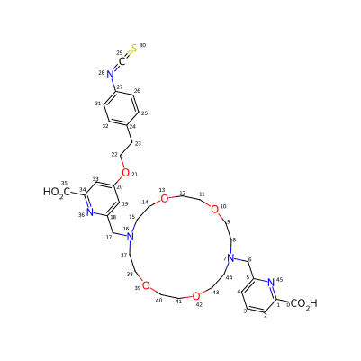 O=C(O)c1cccc(CN2CCOCCOCCN(Cc3cc(OCCc4ccc(N=C=S)cc4)cc(C(=O)O)n3)CCOCCOCC2)n1